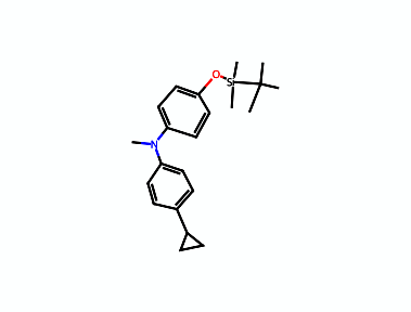 CN(c1ccc(O[Si](C)(C)C(C)(C)C)cc1)c1ccc(C2CC2)cc1